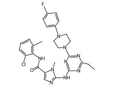 CCc1nc(Nc2ncc(C(=O)Nc3c(C)cccc3Cl)n2C)nc(N2CCN(c3ccc(F)cc3)CC2)n1